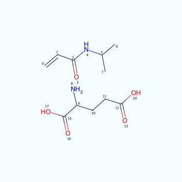 C=CC(=O)NC(C)C.NC(CCC(=O)O)C(=O)O